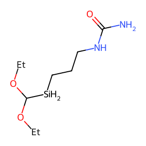 CCOC(OCC)[SiH2]CCCNC(N)=O